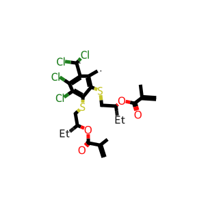 [CH2]c1c(SCC(CC)OC(=O)C(=C)C)c(SCC(CC)OC(=O)C(=C)C)c(Cl)c(Cl)c1[C](Cl)Cl